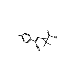 Cc1ccc(/C(C#N)=C/C2C(C(=O)O)C2(C)C)cc1